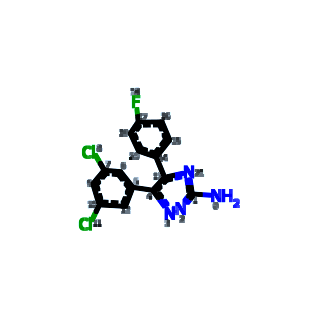 Nc1nnc(-c2cc(Cl)cc(Cl)c2)c(-c2ccc(F)cc2)n1